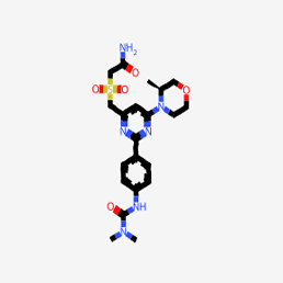 C[C@H]1COCCN1c1cc(CS(=O)(=O)CC(N)=O)nc(-c2ccc(NC(=O)N(C)C)cc2)n1